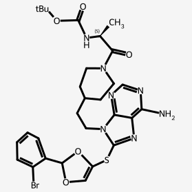 C[C@H](NC(=O)OC(C)(C)C)C(=O)N1CCC(CCn2c(SC3=COC(c4ccccc4Br)O3)nc3c(N)ncnc32)CC1